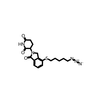 [N-]=[N+]=NCCCCCSc1cccc2c1CN(C1CCC(=O)NC1=O)C2=O